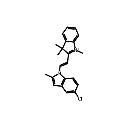 Cc1cc2cc(Cl)ccc2n1C=CC1=[N+](C)c2ccccc2C1(C)C